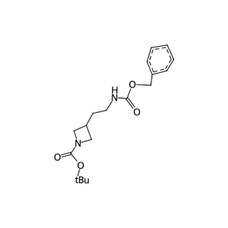 CC(C)(C)OC(=O)N1CC(CCNC(=O)OCc2ccccc2)C1